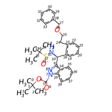 CC(C)(C)OC(=O)n1nc([C@@H](N[S@+]([O-])C(C)(C)C)c2ccccc2CCOCc2ccccc2)c2ccccc21